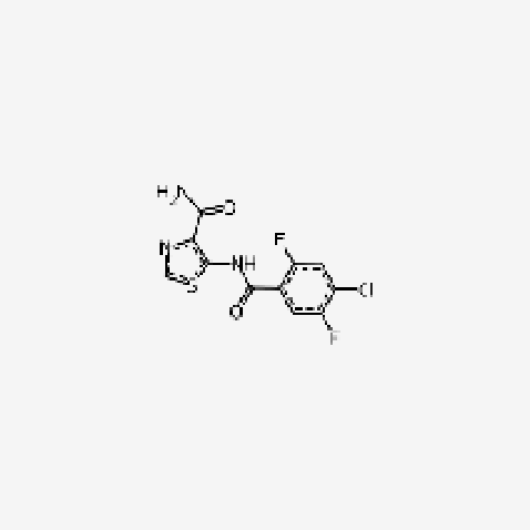 NC(=O)c1ncsc1NC(=O)c1cc(F)c(Cl)cc1F